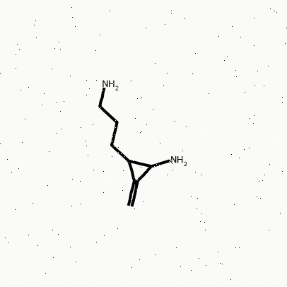 C=C1C(N)C1CCCN